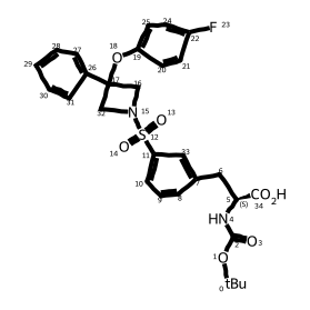 CC(C)(C)OC(=O)N[C@@H](Cc1cccc(S(=O)(=O)N2CC(Oc3ccc(F)cc3)(c3ccccc3)C2)c1)C(=O)O